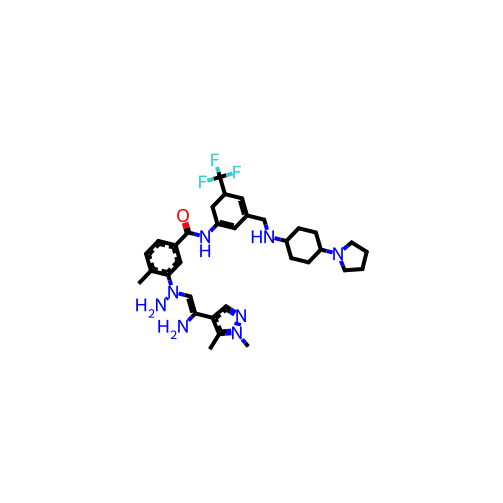 Cc1ccc(C(=O)NC2=CC(CNC3CCC(N4CCCC4)CC3)=CC(C(F)(F)F)C2)cc1N(N)/C=C(\N)c1cnn(C)c1C